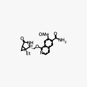 CC[C@]12CC1C(=O)N[C@@H]2COc1nccc2cc(C(N)=O)c(OC)cc12